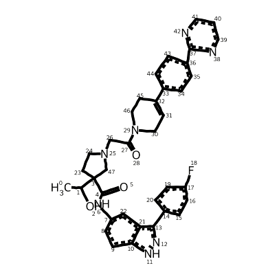 CC(O)C1(C(=O)Nc2ccc3[nH]nc(-c4ccc(F)cc4)c3c2)CCN(CC(=O)N2CC=C(c3ccc(-c4ncccn4)cc3)CC2)C1